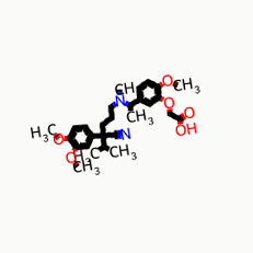 COc1ccc(C(C#N)(CCCN(C)C(C)c2ccc(OC)c(OCC(=O)O)c2)C(C)C)cc1OC